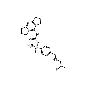 N[S@@](=O)(=NC(=O)Nc1c2c(cc3c1CCC3)CCC2)c1ccc(CNCC(F)F)cc1